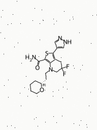 NC(=O)c1sc(-c2cn[nH]c2)c2c1N(CC[C@H]1CCCCO1)CC(F)(F)C2